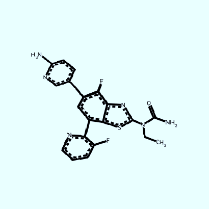 CCN(C(N)=O)c1nc2c(F)c(-c3ccc(N)nc3)cc(-c3ncccc3F)c2s1